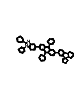 C1=CC2c3ccc(-c4ccc5c(-c6ccccc6)c6cc(-c7ccc8c(c7)nc(-c7ccccc7)n8-c7ccccc7)ccc6c(-c6ccccc6)c5c4)cc3C3(CCCC3)C2C=C1